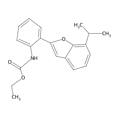 CCOC(=O)Nc1ccccc1-c1cc2cccc(C(C)C)c2o1